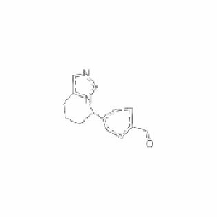 O=Cc1ccc(C2CCCc3cncn32)cc1